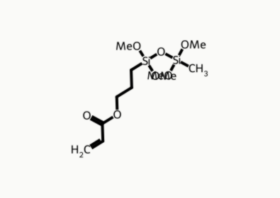 C=CC(=O)OCCC[Si](OC)(OC)O[Si](C)(OC)OC